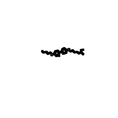 CCCCCOc1ccc(-c2ccc(OCCCCCC(C)CC)cc2)nc1